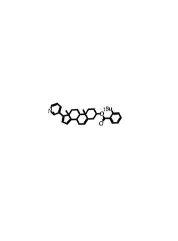 CC12CCC3C(CC=C4CC(OC(=O)c5ccccc5C(C)(C)C)CCC43C)C1=CC=C2c1cccnc1